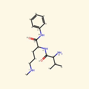 CNCCCC(NC(=O)C(N)C(C)C)C(=O)Nc1ccccc1